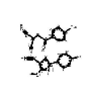 CSc1[nH]c(-c2ccc(F)cc2)cc1C#N.N#CC(C#N)CC(=O)c1ccc(F)cc1